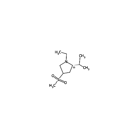 CCN1CC(S(C)(=O)=O)C[C@H]1C(C)C